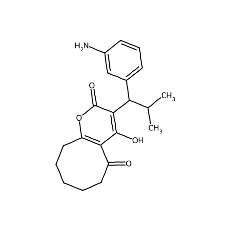 CC(C)C(c1cccc(N)c1)c1c(O)c2c(oc1=O)CCCCCC2=O